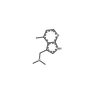 CN(C)Cc1c[nH]c2nccc(I)c12